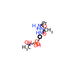 C/C(=C\CCP(=O)(O)OCc1ccc(NC(=O)[C@H](C)NC(=O)[C@@H](N)C(C)C)cc1)CO